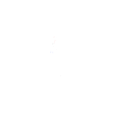 O=Cc1ccc(CCC2CC2)cn1